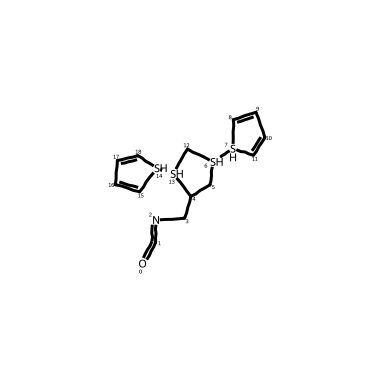 O=C=NCC1C[SH]([SH]2C=CC=C2)C[SH]1[SH]1C=CC=C1